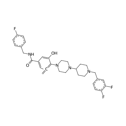 C=C=C(/C(O)=C\C(=C/C)C(=O)NCc1ccc(F)cc1)N1CCN(C2CCN(Cc3ccc(F)c(F)c3)CC2)CC1